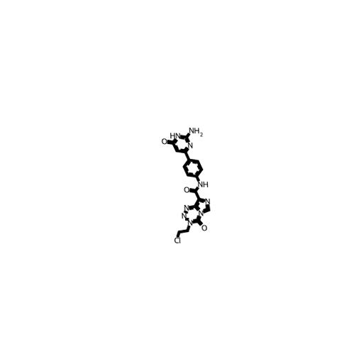 Nc1nc(-c2ccc(NC(=O)c3ncn4c(=O)n(CCCl)nnc34)cc2)cc(=O)[nH]1